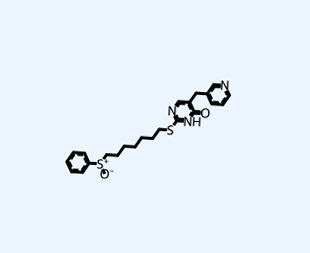 O=c1[nH]c(SCCCCCCC[S+]([O-])c2ccccc2)ncc1Cc1cccnc1